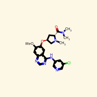 COc1cc2ncnc(Nc3cncc(Cl)c3)c2cc1O[C@H]1C[C@H](C(=O)N(C)C)N(C)C1